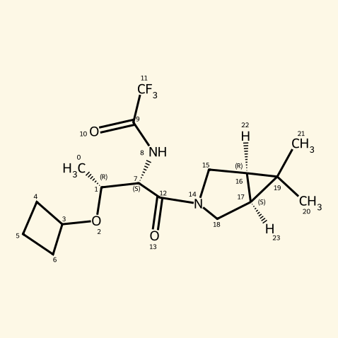 C[C@@H](OC1CCC1)[C@H](NC(=O)C(F)(F)F)C(=O)N1C[C@@H]2[C@H](C1)C2(C)C